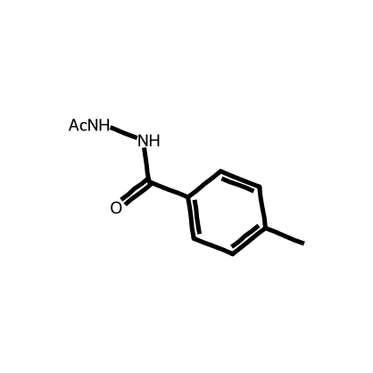 CC(=O)NNC(=O)c1ccc(C)cc1